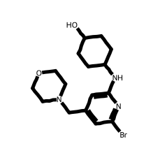 OC1CCC(Nc2cc(CN3CCOCC3)cc(Br)n2)CC1